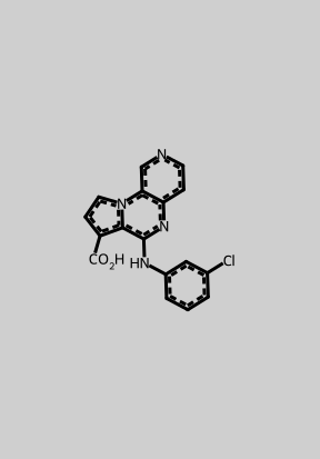 O=C(O)c1ccn2c1c(Nc1cccc(Cl)c1)nc1ccncc12